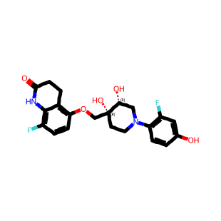 O=C1CCc2c(OC[C@]3(O)CCN(c4ccc(O)cc4F)C[C@H]3O)ccc(F)c2N1